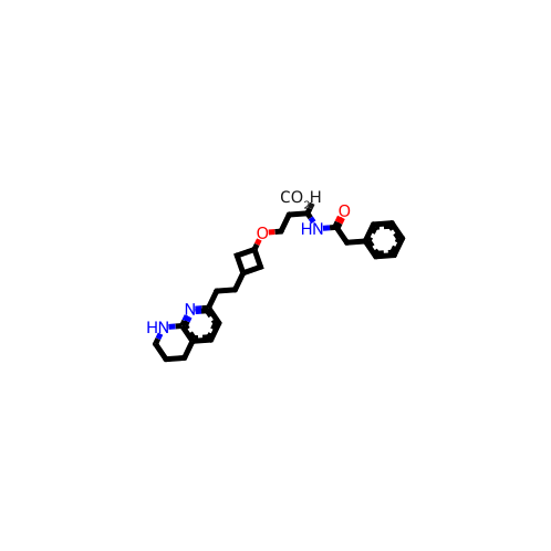 O=C(Cc1ccccc1)NC(CCOC1CC(CCc2ccc3c(n2)NCCC3)C1)C(=O)O